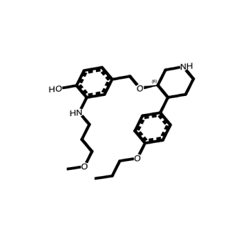 CCCOc1ccc(C2CCNC[C@@H]2OCc2ccc(O)c(NCCCOC)c2)cc1